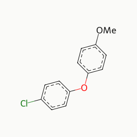 [CH2]Oc1ccc(Oc2ccc(Cl)cc2)cc1